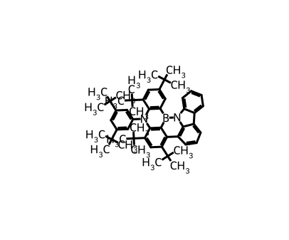 CC(C)(C)c1cc(N2c3c(cc(C(C)(C)C)cc3C(C)(C)C)B3c4c(c(C(C)(C)C)cc(C(C)(C)C)c42)-c2cccc4c5ccccc5n3c24)cc(C(C)(C)C)c1